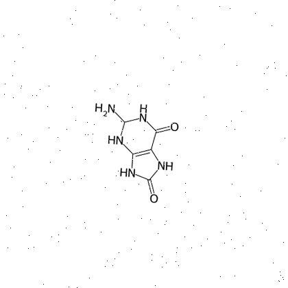 NC1NC(=O)c2[nH]c(=O)[nH]c2N1